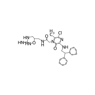 Cc1c(Cl)nc(NCC(c2ccccc2)c2ccccc2)c(=O)n1CC(=O)NCC1CNC(=N)NO1